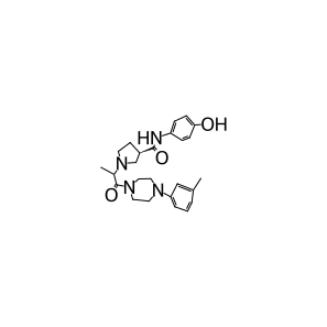 Cc1cccc(N2CCN(C(=O)C(C)N3CC[C@@H](C(=O)Nc4ccc(O)cc4)C3)CC2)c1